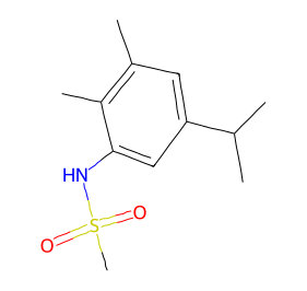 Cc1cc(C(C)C)cc(NS(C)(=O)=O)c1C